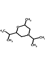 CC1CN(C(C)C)CC(C(C)C)O1